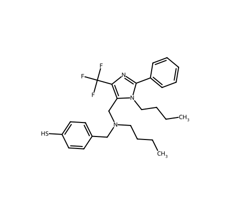 CCCCN(Cc1ccc(S)cc1)Cc1c(C(F)(F)F)nc(-c2ccccc2)n1CCCC